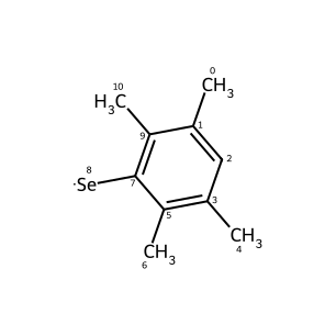 Cc1cc(C)c(C)c([Se])c1C